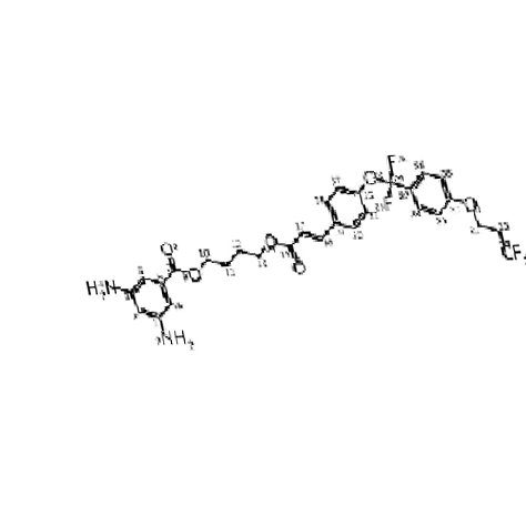 Nc1cc(N)cc(C(=O)OCCCCOC(=O)/C=C/c2ccc(OC(F)(F)c3ccc(OCCC(F)(F)F)cc3)cc2)c1